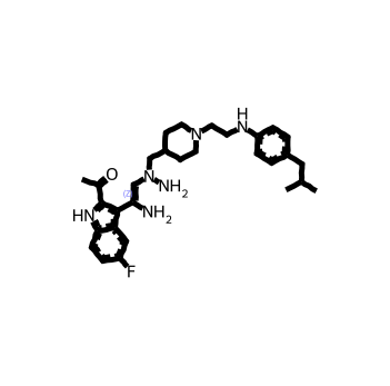 CC(=O)c1[nH]c2ccc(F)cc2c1/C(N)=C/N(N)CC1CCN(CCNc2ccc(CC(C)C)cc2)CC1